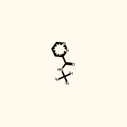 [2H]C([2H])([2H])NC(=O)c1cccnn1